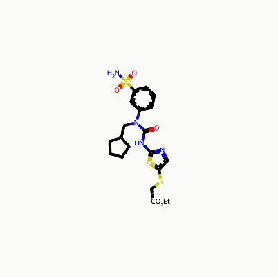 CCOC(=O)CSc1cnc(NC(=O)N(CC2CCCC2)c2cccc(S(N)(=O)=O)c2)s1